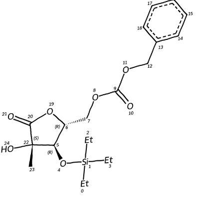 CC[Si](CC)(CC)O[C@@H]1[C@@H](COC(=O)OCc2ccccc2)OC(=O)[C@@]1(C)O